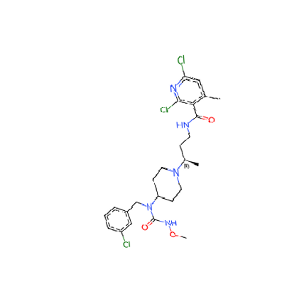 CONC(=O)N(Cc1cccc(Cl)c1)C1CCN([C@H](C)CCNC(=O)c2c(C)cc(Cl)nc2Cl)CC1